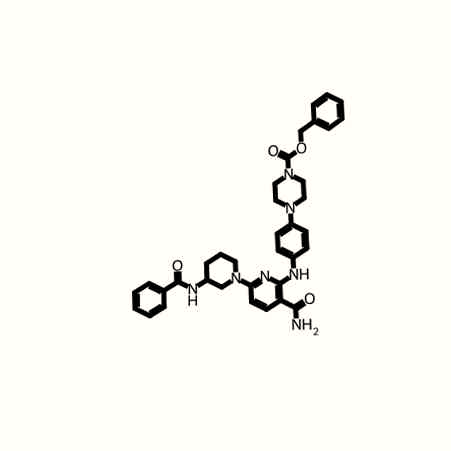 NC(=O)c1ccc(N2CCCC(NC(=O)c3ccccc3)C2)nc1Nc1ccc(N2CCN(C(=O)OCc3ccccc3)CC2)cc1